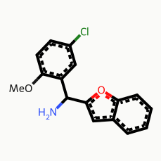 COc1ccc(Cl)cc1C(N)c1cc2ccccc2o1